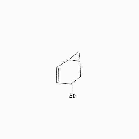 C[CH]C1C=CC2CC2C1